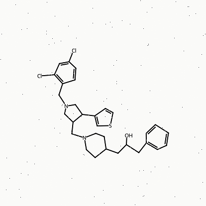 OC(Cc1ccccc1)CC1CCN(CC2CN(Cc3ccc(Cl)cc3Cl)CC2c2ccsc2)CC1